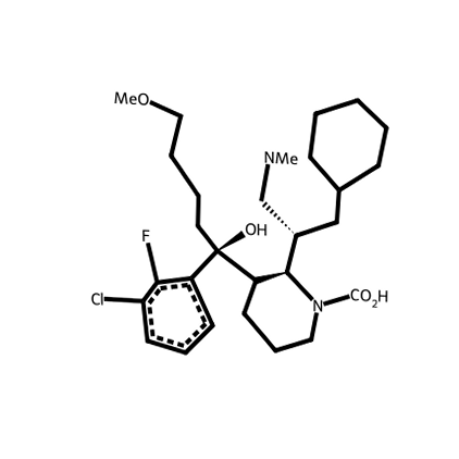 CNC[C@H](CC1CCCCC1)[C@@H]1C([C@@](O)(CCCCOC)c2cccc(Cl)c2F)CCCN1C(=O)O